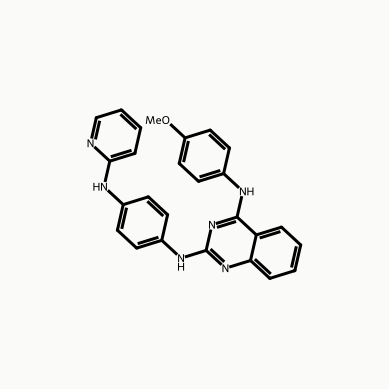 COc1ccc(Nc2nc(Nc3ccc(Nc4ccccn4)cc3)nc3ccccc23)cc1